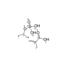 C=C(C)C(=O)O.CC(C)OP(=O)(O)O